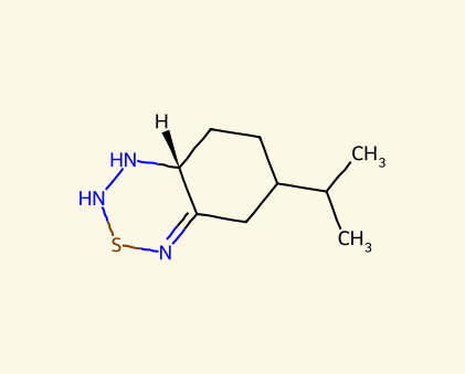 CC(C)C1CC[C@H]2NNSN=C2C1